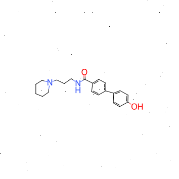 O=C(NCCCN1CCCCC1)c1ccc(-c2ccc(O)cc2)cc1